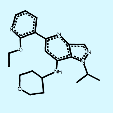 CCOc1ncccc1-c1cc(NC2CCOCC2)c2c(cnn2C(C)C)n1